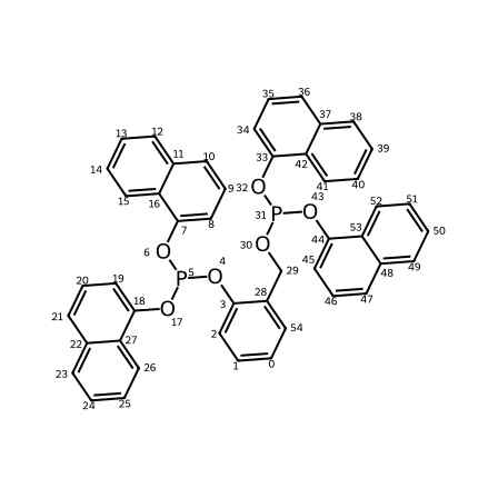 c1ccc(OP(Oc2cccc3ccccc23)Oc2cccc3ccccc23)c(COP(Oc2cccc3ccccc23)Oc2cccc3ccccc23)c1